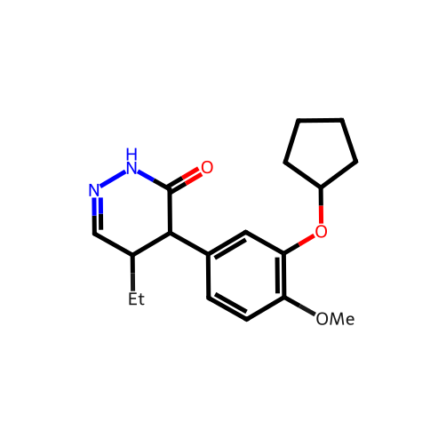 CCC1C=NNC(=O)C1c1ccc(OC)c(OC2CCCC2)c1